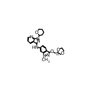 Cn1nc(OC[C@@H]2COCCO2)c2ccc(Nc3nn(C4CCCCO4)c4ncccc34)cc21